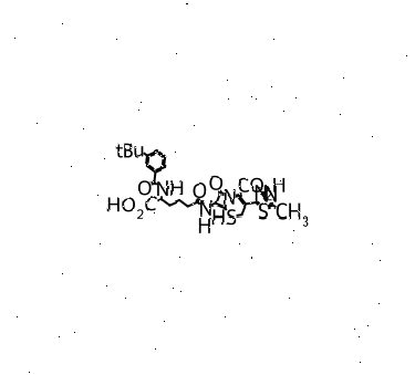 Cc1nnc(C2=C(C(=O)O)N3C(=O)C(NC(=O)CCCC(NC(=O)c4cccc(C(C)(C)C)c4)C(=O)O)[C@@H]3SC2)s1